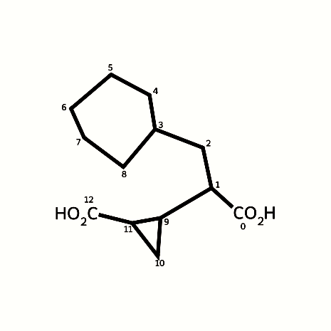 O=C(O)C(CC1CCCCC1)C1CC1C(=O)O